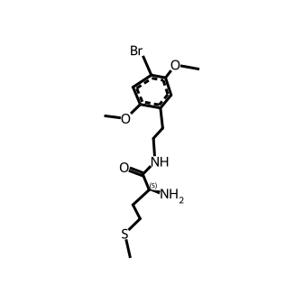 COc1cc(CCNC(=O)[C@@H](N)CCSC)c(OC)cc1Br